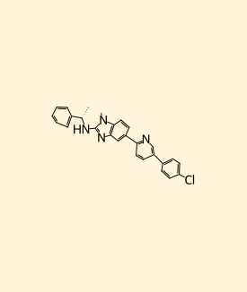 C[C@H](Nc1nc2cc(-c3ccc(-c4ccc(Cl)cc4)cn3)ccc2n1C)c1ccccc1